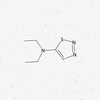 CCN(CC)c1[c]nns1